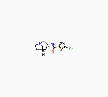 O=C(N[C@@H]1C[C@@H]2CCN(C2)C1)c1ccc(Br)s1